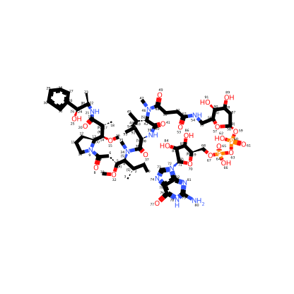 CC[C@H](C)[C@@H]([C@@H](CC(=O)N1CCC[C@H]1[C@H](OC)[C@@H](C)C(=O)N[C@H](C)[C@@H](O)c1ccccc1)OC)N(C)C(=O)[C@@H](NC(=O)[C@H](C(C)C)N(C)C(=O)CCC(=O)NCC1O[C@H](OP(=O)(O)OP(=O)(O)OC[C@H]2O[C@@H](n3cnc4c(=O)[nH]c(N)nc43)C(O)C2O)CC(O)[C@@H]1O)C(C)C